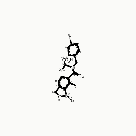 Cc1c(C(=O)N(Cc2ccc(F)cc2)C(C(=O)O)C(C)C)ccc2c1B(O)OC2